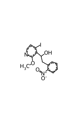 COc1nccc(I)c1C(O)Cc1ccccc1[N+](=O)[O-]